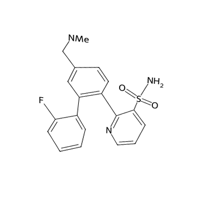 CNCc1ccc(-c2ncccc2S(N)(=O)=O)c(-c2ccccc2F)c1